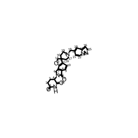 O=C1CCC(N2Cc3c(ccc4c3OCC43CCN(Cc4ccn5nccc5c4)CC3)C2=O)C(=O)N1